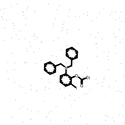 CCC(=O)Oc1c(I)cccc1N(Cc1ccccc1)Cc1ccccc1